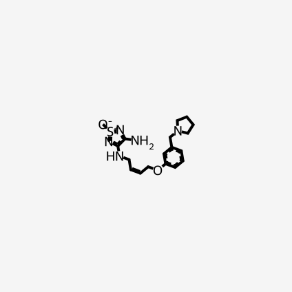 Nc1n[s+]([O-])nc1NC/C=C\COc1cccc(CN2CCCC2)c1